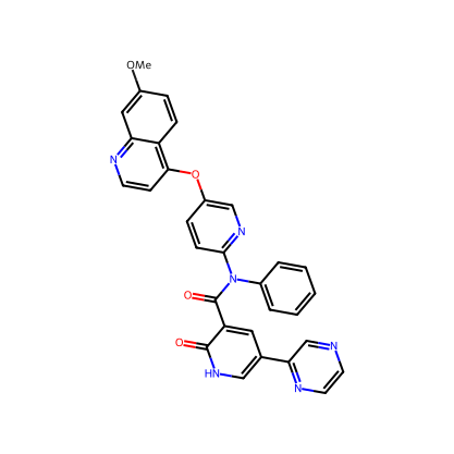 COc1ccc2c(Oc3ccc(N(C(=O)c4cc(-c5cnccn5)c[nH]c4=O)c4ccccc4)nc3)ccnc2c1